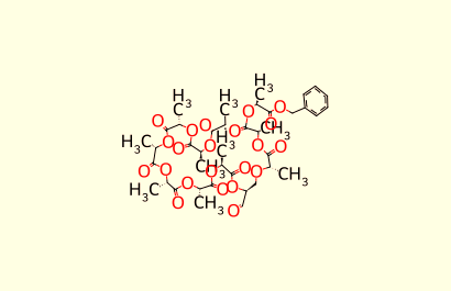 C[CH]C(=O)O[C@@H](C)C(=O)O[C@@H](C)C(=O)O[C@@H](C)C(=O)O[C@@H](C)C(=O)O[C@@H](C)C(=O)O[C@@H](C)C(=O)O[C@H](C=O)CO[C@@H](C)C(=O)O[C@@H](C)C(=O)O[C@@H](C)C(=O)OCc1ccccc1